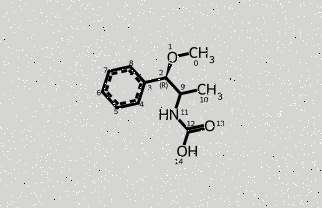 CO[C@H](c1ccccc1)C(C)NC(=O)O